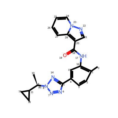 Cc1ccc(-c2nnn([C@H](C)C3CC3)n2)cc1NC(=O)c1cnn2ccccc12